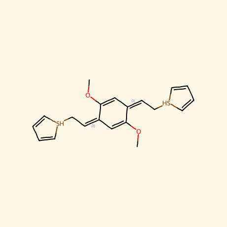 COc1c/c(=C/C[SH]2C=CC=C2)c(OC)c/c1=C/C[SH]1C=CC=C1